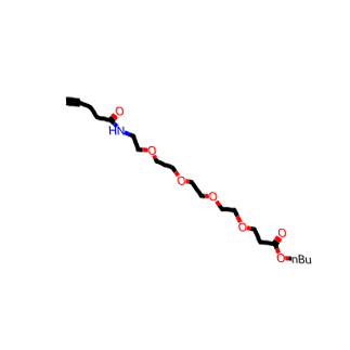 C#CCCC(=O)NCCOCCOCCOCCOCCC(=O)OCCCC